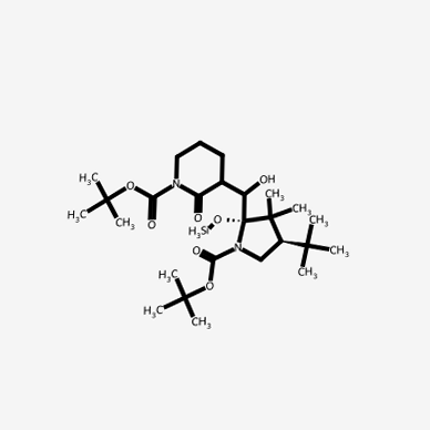 CC(C)(C)OC(=O)N1CCCC(C(O)[C@]2(O[SiH3])N(C(=O)OC(C)(C)C)C[C@H](C(C)(C)C)C2(C)C)C1=O